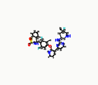 Cc1c(Oc2ncccc2-c2ccnc(N[C@@H]3CNC[C@@](C)(F)C3)n2)cc(F)c(C(N[SH](=O)=O)c2ccccc2)c1F